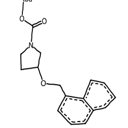 CC(C)(C)OC(=O)N1CCC(OCc2cccc3ccccc23)C1